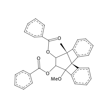 COC12c3ccccc3[C@@]13c1ccccc1[C@@]3(C)C(OC(=O)c1ccccc1)C2OC(=O)c1ccccc1